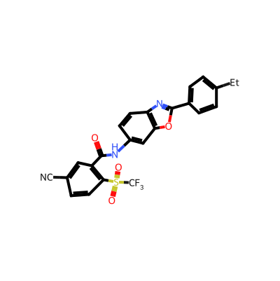 CCc1ccc(-c2nc3ccc(NC(=O)c4cc(C#N)ccc4S(=O)(=O)C(F)(F)F)cc3o2)cc1